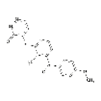 COc1ccc(C(=O)c2cccc(Cc3ccn[nH]c3=O)c2C)cc1